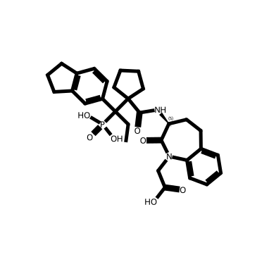 CCC(c1ccc2c(c1)CCC2)(C1(C(=O)N[C@H]2CCc3ccccc3N(CC(=O)O)C2=O)CCCC1)P(=O)(O)O